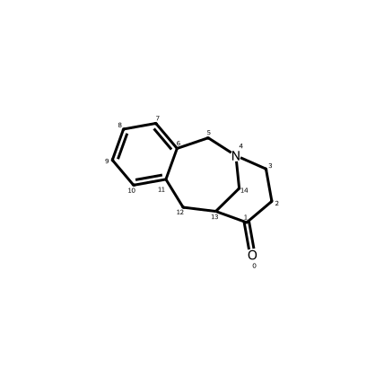 O=C1CCN2Cc3ccccc3CC1C2